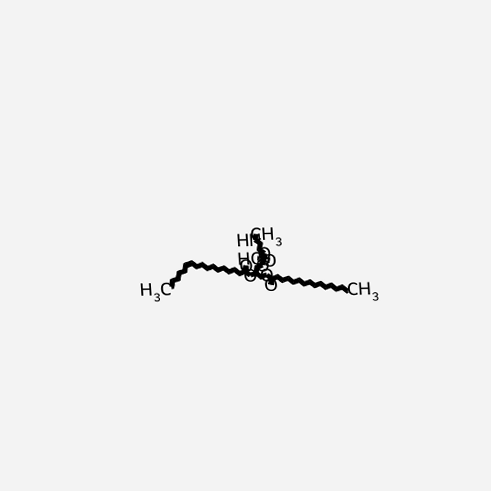 CCCCCC/C=C\CCCCCCCCCC(=O)OC(COC(=O)CCCCCCCCCCCCCCC)COP(=O)(O)OCCNC